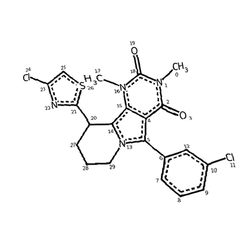 Cn1c(=O)c2c(-c3cccc(Cl)c3)n3c(c2n(C)c1=O)C(c1nc(Cl)cs1)CCC3